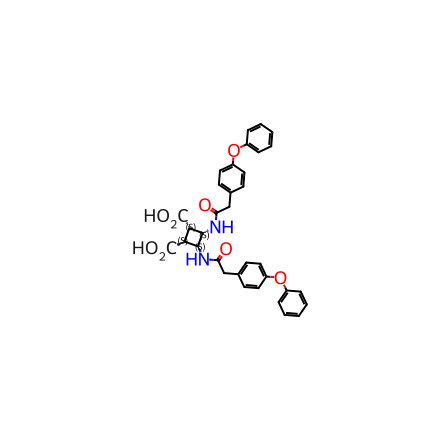 O=C(Cc1ccc(Oc2ccccc2)cc1)N[C@@H]1[C@@H](NC(=O)Cc2ccc(Oc3ccccc3)cc2)[C@@H](C(=O)O)[C@@H]1C(=O)O